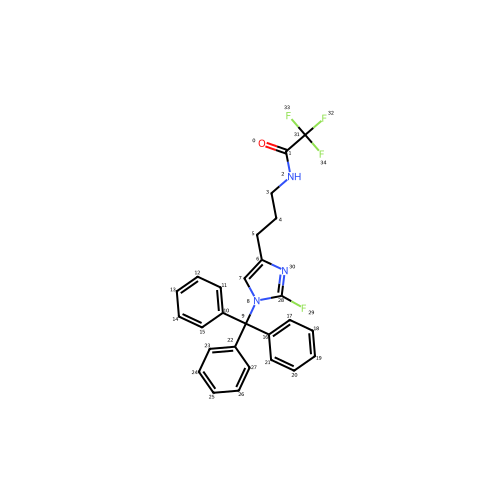 O=C(NCCCc1cn(C(c2ccccc2)(c2ccccc2)c2ccccc2)c(F)n1)C(F)(F)F